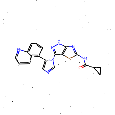 O=C(Nc1nc2[nH]nc(-n3cncc3-c3cccc4ncccc34)c2s1)C1CC1